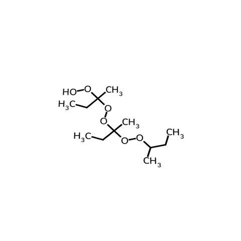 CCC(C)OOC(C)(CC)OOC(C)(CC)OO